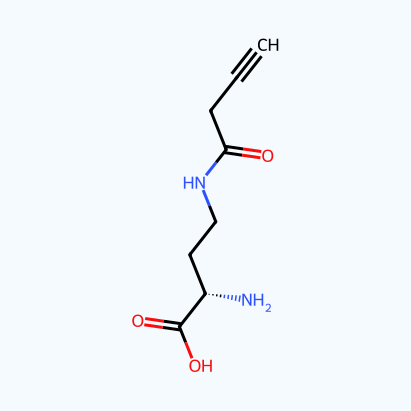 C#CCC(=O)NCC[C@H](N)C(=O)O